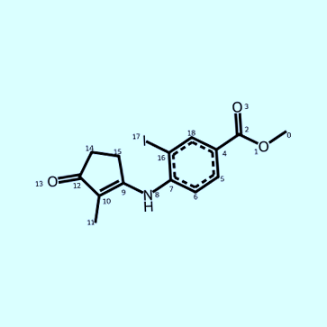 COC(=O)c1ccc(NC2=C(C)C(=O)CC2)c(I)c1